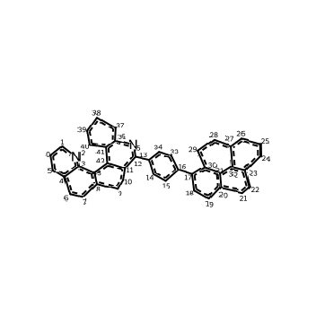 c1cnc2c(c1)ccc1ccc3c(-c4ccc(-c5ccc6ccc7cccc8ccc5c6c78)cc4)nc4ccccc4c3c12